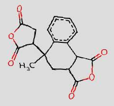 CC1(C2CC(=O)OC2=O)CC2C(=O)OC(=O)C2c2ccccc21